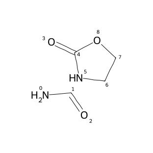 NC=O.O=C1NCCO1